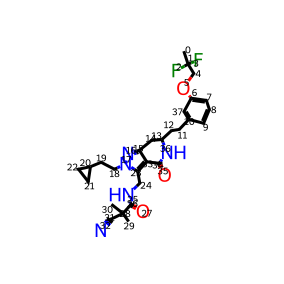 CC(F)(F)COc1cccc(CCC2Cc3nn(CCC4CC4)c(CNC(=O)C(C)(C)C#N)c3C(=O)N2)c1